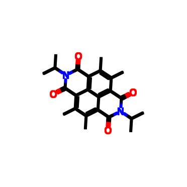 Cc1c(C)c2c3c(c(C)c(C)c4c3c1C(=O)N(C(C)C)C4=O)C(=O)N(C(C)C)C2=O